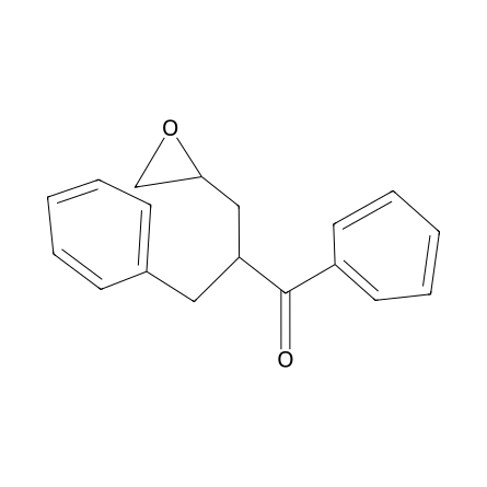 O=C(c1ccccc1)C(Cc1ccccc1)CC1CO1